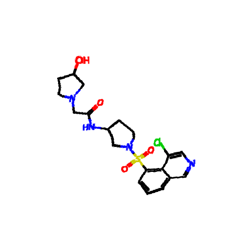 O=C(CN1CCC(O)C1)NC1CCN(S(=O)(=O)c2cccc3cncc(Cl)c23)C1